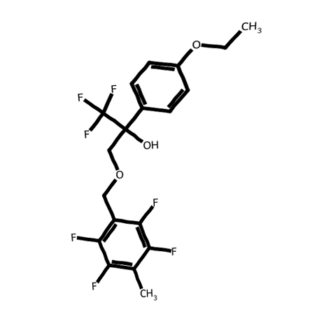 CCOc1ccc(C(O)(COCc2c(F)c(F)c(C)c(F)c2F)C(F)(F)F)cc1